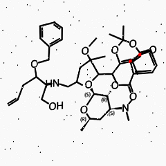 C=CCC(OCc1ccccc1)C(CO)NCC(C)CC(C)(OC)C(O[C@@H]1O[C@H](C)C[C@H](N(C)C)[C@H]1OC(=O)c1ccccc1)C(C)C1=C(C)C(=O)OC(C)(C)O1